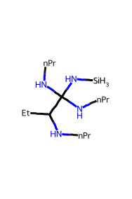 CCCNC(CC)C(N[SiH3])(NCCC)NCCC